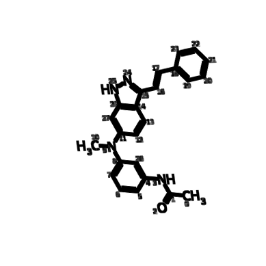 CC(=O)Nc1cccc(N(C)c2ccc3c(/C=C/c4ccccc4)n[nH]c3c2)c1